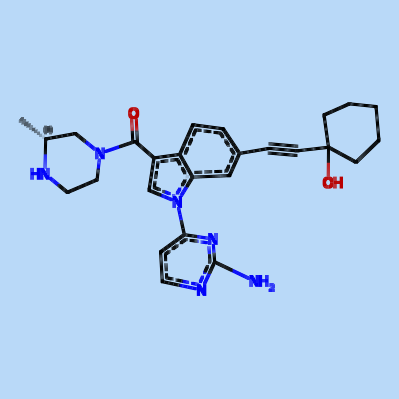 C[C@@H]1CN(C(=O)c2cn(-c3ccnc(N)n3)c3cc(C#CC4(O)CCCCC4)ccc23)CCN1